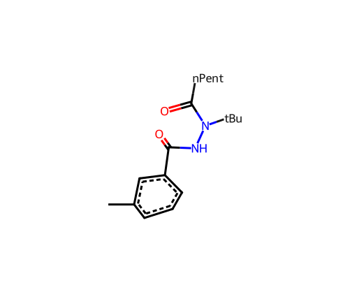 CCCCCC(=O)N(NC(=O)c1cccc(C)c1)C(C)(C)C